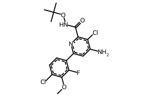 COc1c(Cl)ccc(-c2cc(N)c(Cl)c(C(=O)NOC(C)(C)C)n2)c1F